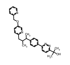 CC(Cc1ccc(OCc2ccccn2)cn1)C(C)c1ccc(-c2ccc(C(C)(C)O)nn2)cc1